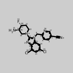 N#Cc1ccc(Cn2c(N3CC[C@@H](F)[C@H](N)C3)nc3c(Cl)cc(Cl)cc32)nc1